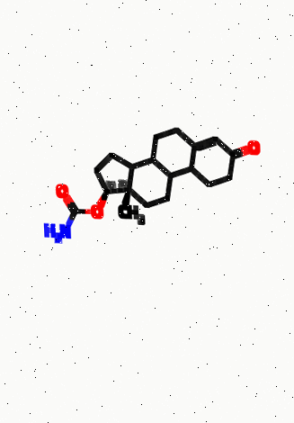 C[C@]12CCC3C4CCC(=O)C=C4CCC3C1CC[C@@H]2OC(N)=O